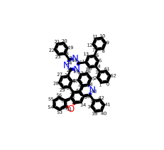 c1ccc(-c2cc(-c3ccccc3)cc(-c3nc(-c4ccccc4)nc(-c4cccc(-c5c6c(cc7c(-c8ccccc8)nc8ccccc8c57)oc5ccccc56)c4)n3)c2)cc1